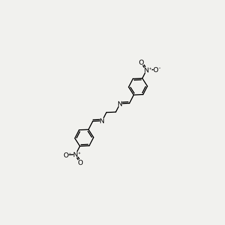 O=[N+]([O-])c1ccc(/C=N/CC/N=C/c2ccc([N+](=O)[O-])cc2)cc1